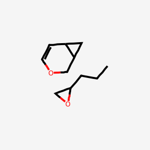 C1=CC2CC2CO1.CCCC1CO1